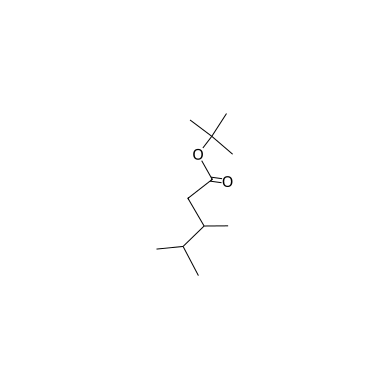 CC(C)C(C)CC(=O)OC(C)(C)C